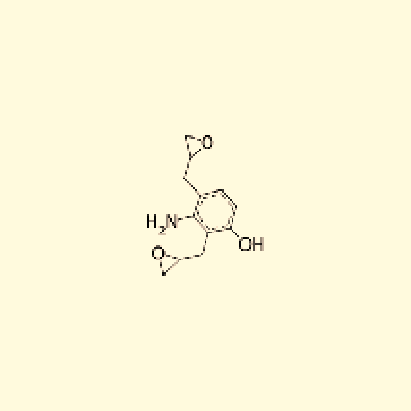 Nc1c(CC2CO2)ccc(O)c1CC1CO1